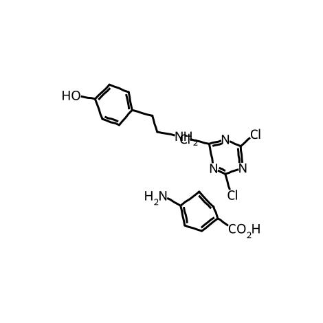 Clc1nc(Cl)nc(Cl)n1.NCCc1ccc(O)cc1.Nc1ccc(C(=O)O)cc1